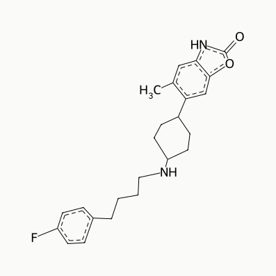 Cc1cc2[nH]c(=O)oc2cc1C1CCC(NCCCCc2ccc(F)cc2)CC1